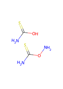 NC(O)=S.NOC(N)=S